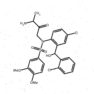 COc1ccc(S(=O)(=O)N(CC(=O)C(C)N)c2ccc(Cl)cc2C(O)c2ccccc2Cl)cc1OC